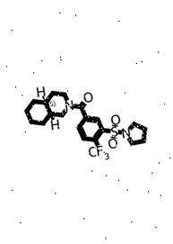 O=C(c1ccc(C(F)(F)F)c(S(=O)(=O)N2CCCC2)c1)N1CC[C@@H]2CCCC[C@H]2C1